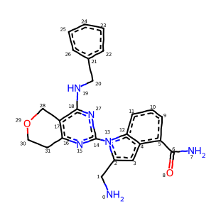 NCc1cc2c(C(N)=O)cccc2n1-c1nc2c(c(NCc3ccccc3)n1)COCC2